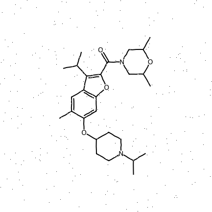 Cc1cc2c(C(C)C)c(C(=O)N3CC(C)OC(C)C3)oc2cc1OC1CCN(C(C)C)CC1